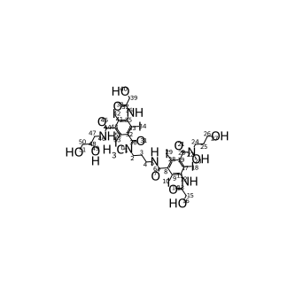 CN(CCCNC(=O)c1c(I)c(NC(=O)CO)c(I)c(C(=O)N(O)CCCO)c1I)C(=O)c1c(I)c(NC(=O)CO)c(I)c(C(=O)NCC(O)CO)c1I